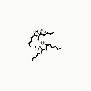 CCCCC(N)NC(N)CCCC.CCCCCC(N)NC(N)CCCCC